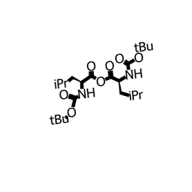 CC(C)C[C@H](NC(=O)OC(C)(C)C)C(=O)OC(=O)[C@H](CC(C)C)NC(=O)OC(C)(C)C